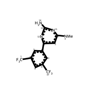 CNc1cc(-c2cc(C(F)(F)F)cc(C(F)(F)F)c2)nc(N)n1